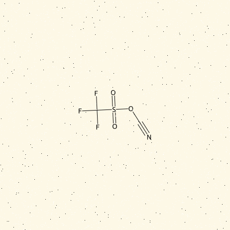 N#COS(=O)(=O)C(F)(F)F